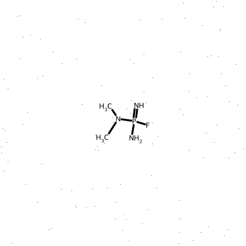 CN(C)P(=N)(N)F